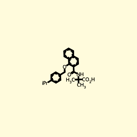 CC(C)c1ccc(COc2c(C(=O)NC(C)(C)C(=O)O)ccc3ccccc23)cc1